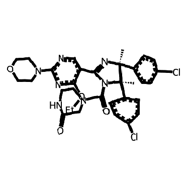 CCOc1nc(N2CCOCC2)ncc1C1=N[C@@](C)(c2ccc(Cl)cc2)[C@@](C)(c2ccc(Cl)cc2)N1C(=O)N1CCNC(=O)C1